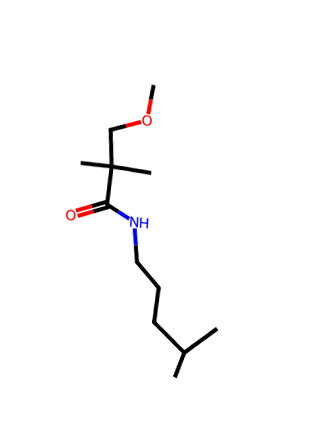 COCC(C)(C)C(=O)NCCCC(C)C